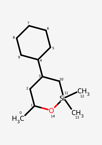 CC1CC(C2CCCCC2)C[Si](C)(C)O1